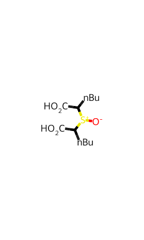 CCCCC(C(=O)O)[S+]([O-])C(CCCC)C(=O)O